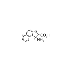 CC1(N)c2c(ccc3ncccc23)SC1C(=O)O